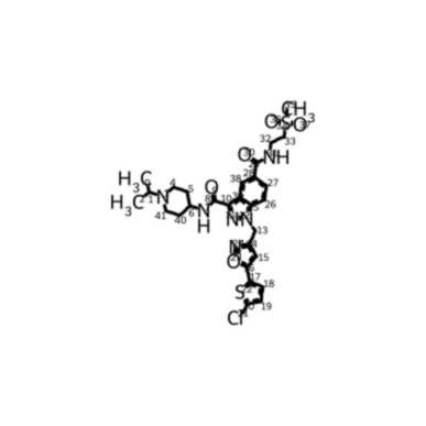 CC(C)N1CCC(NC(=O)c2nn(Cc3cc(-c4ccc(Cl)s4)on3)c3ccc(C(=O)NCCS(C)(=O)=O)cc23)CC1